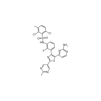 Cc1ncc(-c2nc(-c3cccc(NS(=O)(=O)c4c(Cl)ccc(C)c4Cl)c3F)c(-c3ccnc(N)n3)s2)cn1